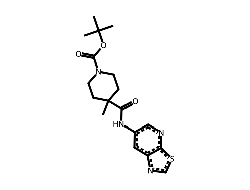 CC(C)(C)OC(=O)N1CCC(C)(C(=O)Nc2cnc3scnc3c2)CC1